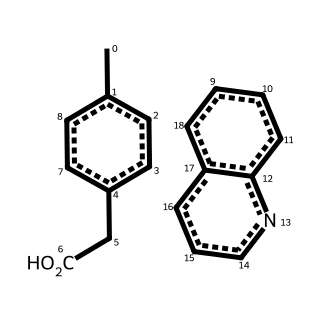 Cc1ccc(CC(=O)O)cc1.c1ccc2ncccc2c1